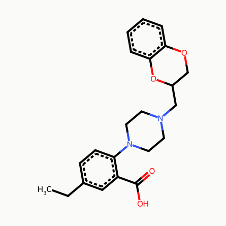 CCc1ccc(N2CCN(CC3COc4ccccc4O3)CC2)c(C(=O)O)c1